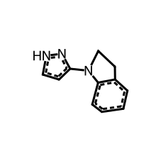 c1ccc2c(c1)CCN2c1cc[nH]n1